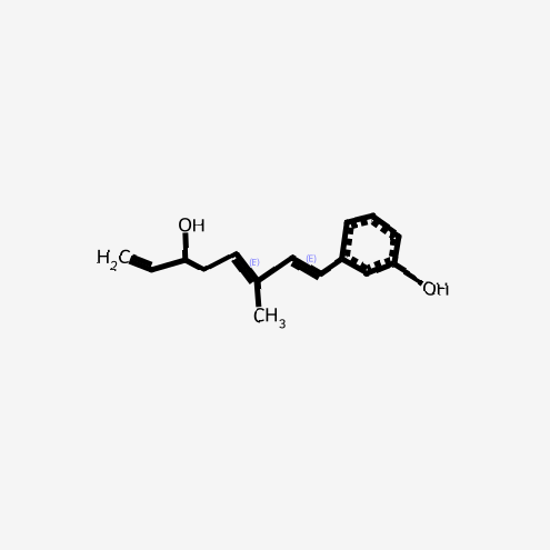 C=CC(O)C/C=C(C)/C=C/c1cccc(O)c1